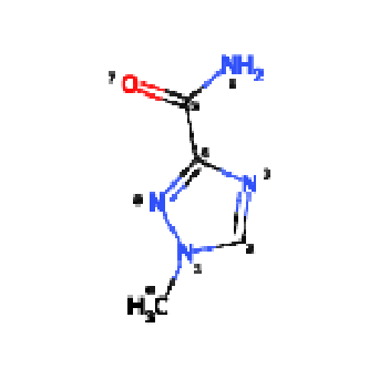 Cn1cnc(C(N)=O)n1